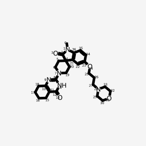 CN1C(=O)C2(CCN(c3nc4c(c(=O)[nH]3)CCCC4)CC2)c2cc(OCCCN3CCOCC3)ccc21